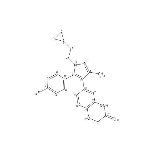 Cc1nn(CCC2CC2)c(-c2ccc(F)cc2)c1-c1ccc2c(c1)NC(=O)CO2